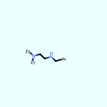 CCN(CC)CCNCC(C)C